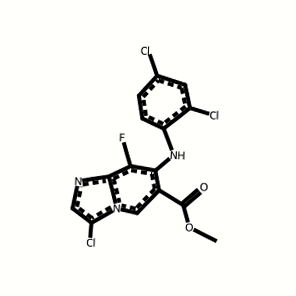 COC(=O)c1cn2c(Cl)cnc2c(F)c1Nc1ccc(Cl)cc1Cl